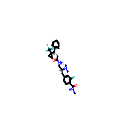 CNC(=O)c1ccc(C[C@@H](CNC(=O)C[C@@H](c2ccccc2)C2(C(F)(F)F)CC2)N(C)C)cc1F